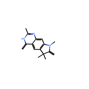 C=C1NC(C)=Nc2cc3c(cc21)C(C)(C)C(=C)N3C